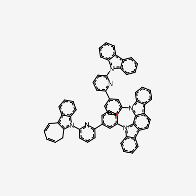 C1=CCc2c(c3ccccc3n2-c2cccc(-c3cccc(-n4c5ccccc5c5ccc6c7ccccc7n(-c7cccc(-c8cccc(-n9c%10ccccc%10c%10ccccc%109)n8)c7)c6c54)c3)n2)C=C1